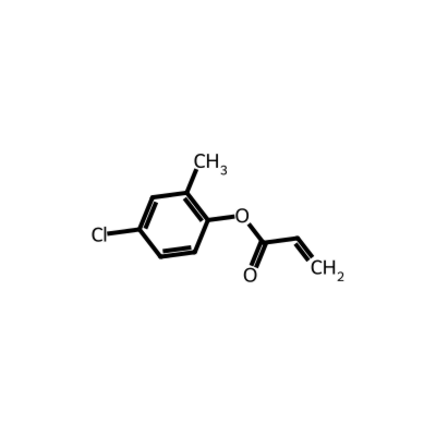 C=CC(=O)Oc1ccc(Cl)cc1C